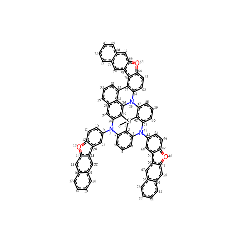 C[Si]12c3c4cccc3N(c3ccc5oc6cc7ccccc7cc6c5c3)c3cc5cccc6c5c(c31)N(c1cccc(c12)N4c1ccc2oc3cc4ccccc4cc3c2c1)c1ccc2oc3cc4ccccc4cc3c2c1-6